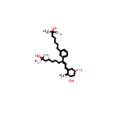 C=C1C(=C/C=C(\CCCCCC(C)(C)O)c2cccc(CCCCCC(C)(C)O)c2)C[C@@H](O)C[C@@H]1O